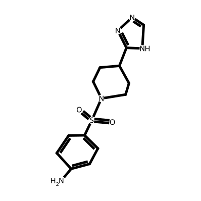 Nc1ccc(S(=O)(=O)N2CCC(c3nnc[nH]3)CC2)cc1